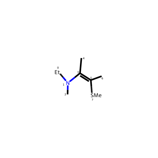 CCN(C)/C(C)=C(/C)SC